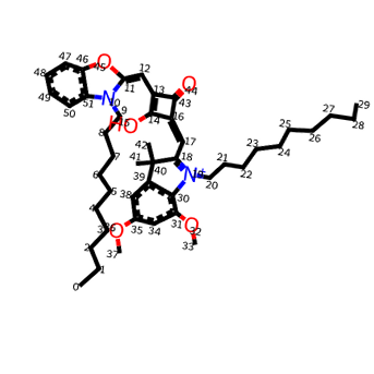 CCCCCCCCCCN1/C(=C\C2=C(O)C(=C\C3=[N+](CCCCCCCCCC)c4c(OC)cc(OC)cc4C3(C)C)/C2=O)Oc2ccccc21